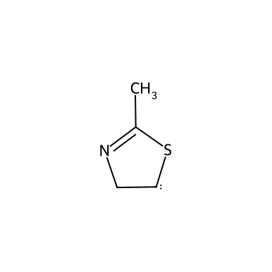 CC1=NC[C]S1